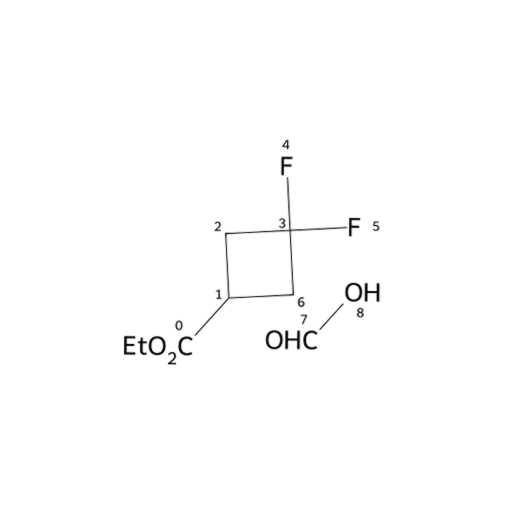 CCOC(=O)C1CC(F)(F)C1.O=CO